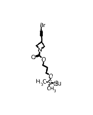 CC(C)(C)[Si](C)(C)OCCCOC(=O)N1CC(C#CBr)C1